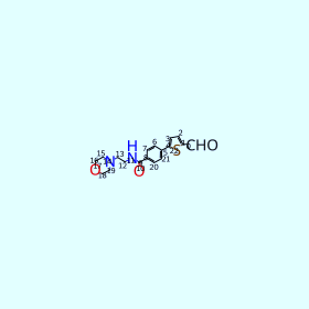 O=Cc1ccc(-c2ccc(C(=O)NCCN3CCOCC3)cc2)s1